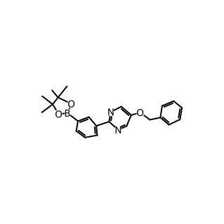 CC1(C)OB(c2cccc(-c3ncc(OCc4ccccc4)cn3)c2)OC1(C)C